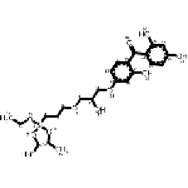 CCO[Si](CCCOCC(O)COc1ccc(C(=O)c2ccc(O)cc2O)c(O)c1)(OCC)OCC